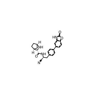 N#C[C@H](Cc1ccc(-c2ccc3oc(=O)[nH]c3c2)cc1)NC(=O)[C@H]1N[C@@H]2CC[C@H]1C2